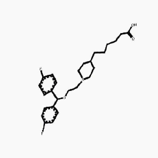 O=C(O)CCCCCC1CCN(CCOC(c2ccc(F)cc2)c2ccc(F)cc2)CC1